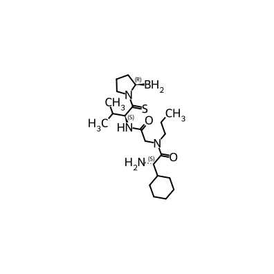 B[C@@H]1CCCN1C(=S)[C@@H](NC(=O)CN(CCC)C(=O)[C@@H](N)C1CCCCC1)C(C)C